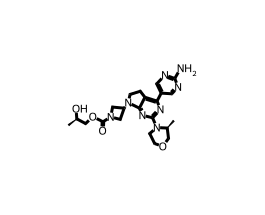 C[C@@H](O)COC(=O)N1CC(N2CCc3c(-c4cnc(N)nc4)nc(N4CCOC[C@@H]4C)nc32)C1